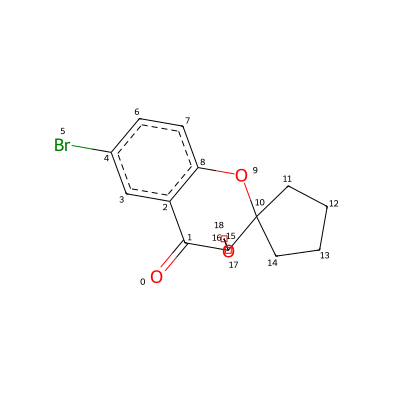 O=C1c2cc(Br)ccc2OC2(CCCC2)C12COC2